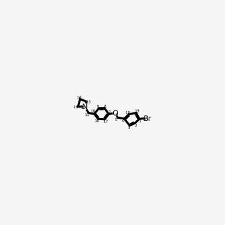 Brc1ccc(COc2ccc(CN3CCC3)cc2)cc1